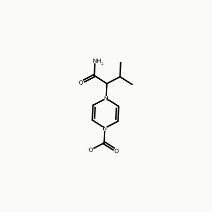 CC(C)C(C(N)=O)N1C=CN(C([O])=O)C=C1